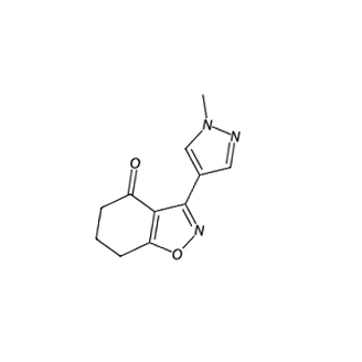 Cn1cc(-c2noc3c2C(=O)CCC3)cn1